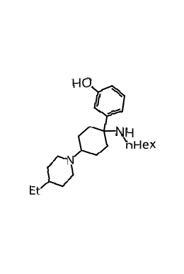 CCCCCCNC1(c2cccc(O)c2)CCC(N2CCC(CC)CC2)CC1